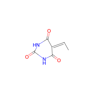 CC=C1C(=O)NC(=O)NC1=O